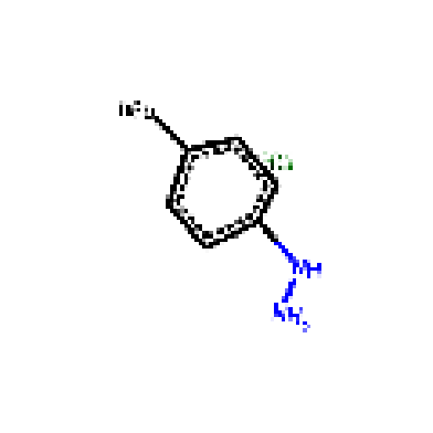 CCCCc1ccc(NN)cc1.Cl